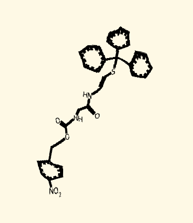 O=C(CNC(=O)OCc1ccc([N+](=O)[O-])cc1)N/C=C/SC(c1ccccc1)(c1ccccc1)c1ccccc1